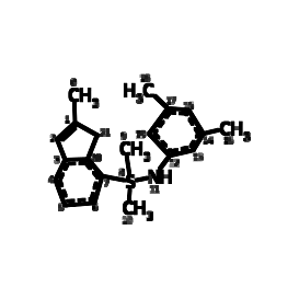 CC1=Cc2cccc(S(C)(C)Nc3cc(C)cc(C)c3)c2C1